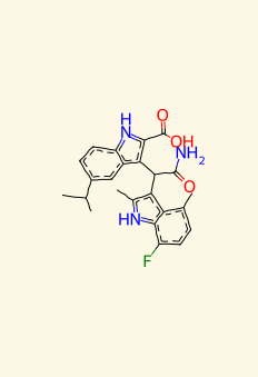 Cc1[nH]c2c(F)ccc(C)c2c1C(C(N)=O)c1c(C(=O)O)[nH]c2ccc(C(C)C)cc12